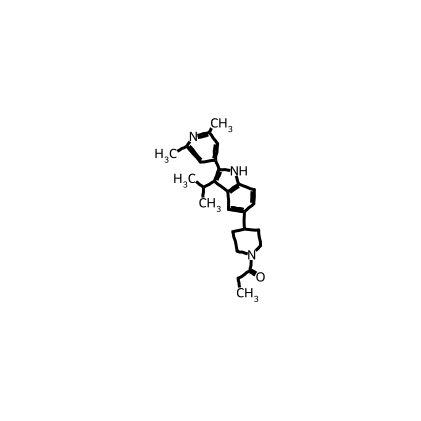 CCC(=O)N1CCC(c2ccc3[nH]c(-c4cc(C)nc(C)c4)c(C(C)C)c3c2)CC1